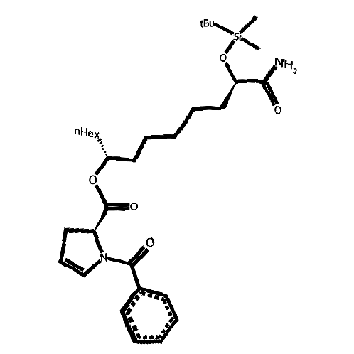 CCCCCC[C@H](CCCCC[C@@H](O[Si](C)(C)C(C)(C)C)C(N)=O)OC(=O)[C@@H]1CC=CN1C(=O)c1ccccc1